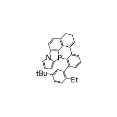 CCc1ccc(C(C)(C)C)cc1-c1cccc2c3c4c(ccc5c4p(c12)c1cccn51)CCC=3